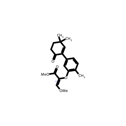 CO/C=C(\Oc1cc(C2=CC(C)(C)CCC2=O)ccc1C)C(=O)OC